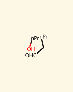 CCCCC=O.CCCO